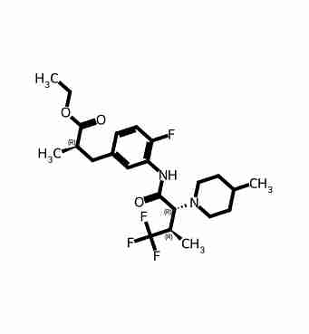 CCOC(=O)[C@H](C)Cc1ccc(F)c(NC(=O)[C@@H]([C@@H](C)C(F)(F)F)N2CCC(C)CC2)c1